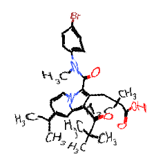 CC(C)c1ccn2c(C(=O)N(C)c3ccc(Br)cc3)c(CC(C)(C)C(=O)O)c(C(=O)C(C)(C)C)c2c1